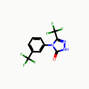 O=c1[nH]nc(C(F)(F)F)n1-c1cccc(C(F)(F)F)c1